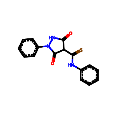 O=C1NN(c2ccccc2)C(=O)C1C(=S)Nc1ccccc1